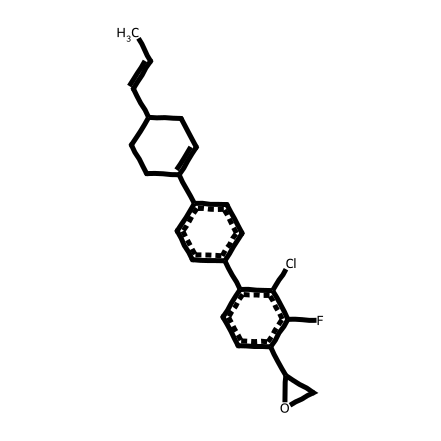 C/C=C/C1CC=C(c2ccc(-c3ccc(C4CO4)c(F)c3Cl)cc2)CC1